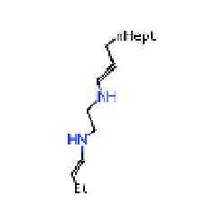 CCC=CNCCNC=CCCCCCCCC